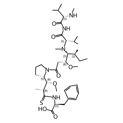 CC[C@H](C)[C@@H]([C@@H](CC(=O)N1CCC[C@H]1[C@H](OC)[C@@H](C)C(=S)N[C@@H](Cc1ccccc1)C(=O)O)OC)N(C)[C@H](C(=O)NC(=O)[C@@H](NC)C(C)C)C(C)C